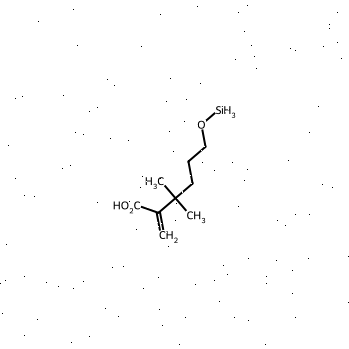 C=C(C(=O)O)C(C)(C)CCCO[SiH3]